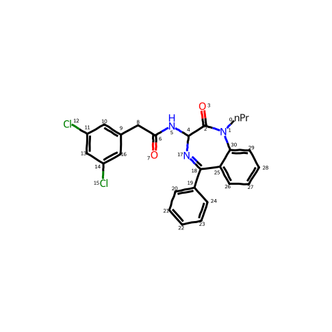 CCCN1C(=O)C(NC(=O)Cc2cc(Cl)cc(Cl)c2)N=C(c2ccccc2)c2ccccc21